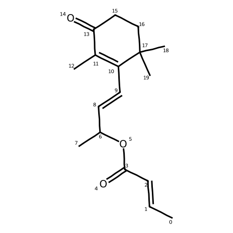 CC=CC(=O)OC(C)C=CC1=C(C)C(=O)CCC1(C)C